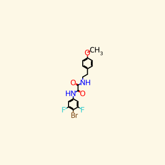 COc1ccc(CCNC(=O)C(=O)Nc2cc(F)c(Br)c(F)c2)cc1